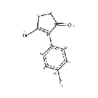 O=C1CCC(Br)=C1c1ccc(F)cc1